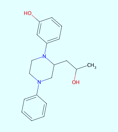 CC(O)CC1CN(c2ccccc2)CCN1c1cccc(O)c1